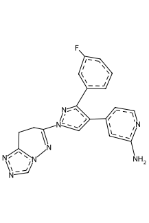 Nc1cc(-c2cn(C3=Nn4cnnc4CC3)nc2-c2cccc(F)c2)ccn1